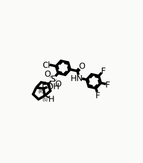 CC[C@@]1(O)C2CC[C@H]1C[C@H](S(=O)(=O)c1cc(C(=O)Nc3cc(F)c(F)c(F)c3)ccc1Cl)C2